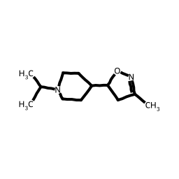 CC1=NOC(C2CCN(C(C)C)CC2)C1